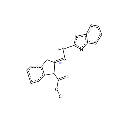 COC(=O)C1/C(=N/Nc2nc3ccccc3s2)Cc2ccccc21